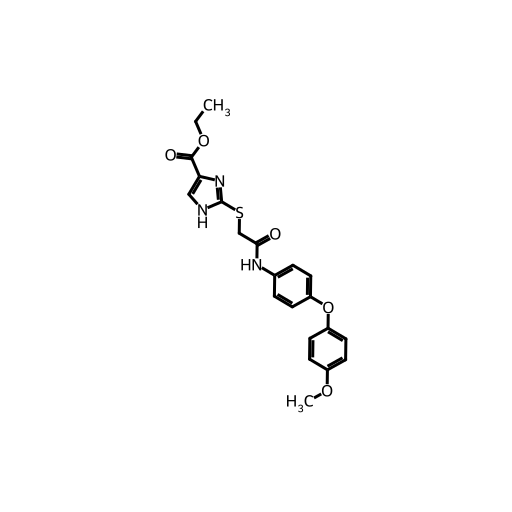 CCOC(=O)c1c[nH]c(SCC(=O)Nc2ccc(Oc3ccc(OC)cc3)cc2)n1